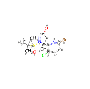 CC(C)(C)[S@@+]([O-])N[C@@](C)(CC=O)c1nc(Br)ccc1Cl